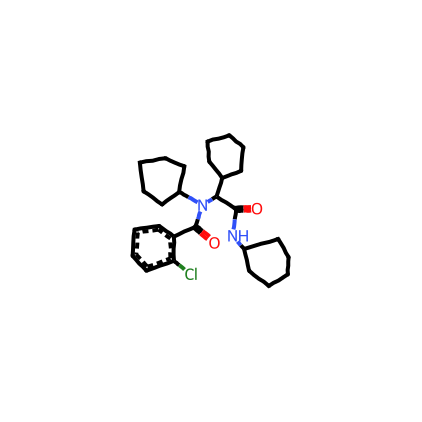 O=C(NC1CCCCC1)C(C1CCCCC1)N(C(=O)c1ccccc1Cl)C1CCCCC1